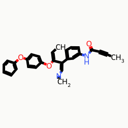 C=N/C=C(\C(=C/C)Oc1ccc(Oc2ccccc2)cc1)c1cccc(NC(=O)C#CC)c1